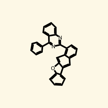 c1ccc(-c2nc(-c3cccc4cc5c(cc34)oc3ccccc35)nc3ccccc23)cc1